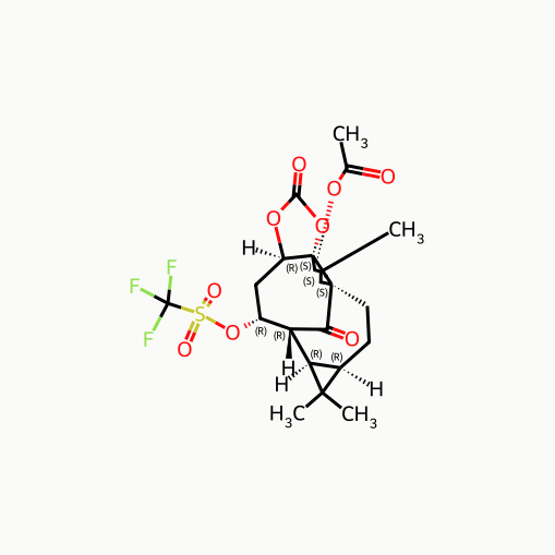 CC(=O)O[C@H]1C(C)=C[C@]23CC[C@@H]4[C@H]([C@@H](C2=O)[C@H](OS(=O)(=O)C(F)(F)F)C[C@H]2OC(=O)O[C@@]213)C4(C)C